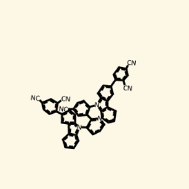 N#Cc1ccc(-c2ccc3c(c2)c2ccccc2n3-c2ccc(C#N)cc2-c2ncccc2-n2c3ccccc3c3cc(-c4ccc(C#N)cc4C#N)ccc32)c(C#N)c1